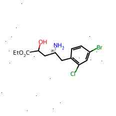 CCOC(=O)C(O)C[C@H](N)Cc1ccc(Br)cc1Cl